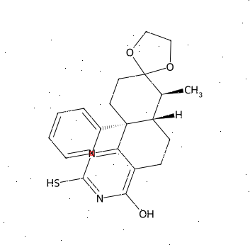 C[C@H]1[C@@H]2CCc3c(O)nc(S)nc3[C@@]2(c2ccccc2)CCC12OCCO2